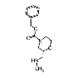 CNC[C@@H]1CN(C(=O)OCc2ccccc2)CCO1